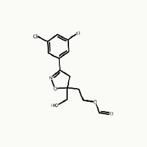 O=COCCC1(CO)CC(c2cc(Cl)cc(Cl)c2)=NO1